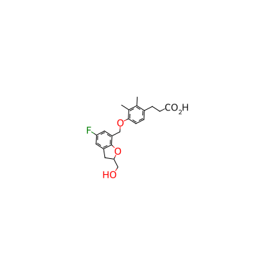 Cc1c(CCC(=O)O)ccc(OCc2cc(F)cc3c2OC(CO)C3)c1C